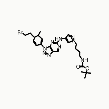 CC1C=C(n2nnc3cnc(Nc4cnn(CCCCNC(=O)OC(C)(C)C)c4)nc32)C=CC1CCBr